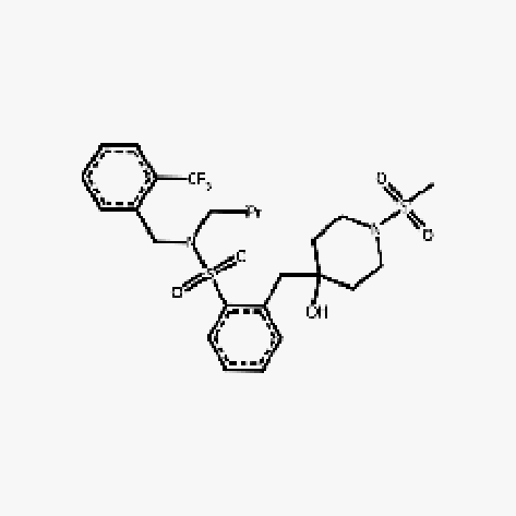 CC(C)CN(Cc1ccccc1C(F)(F)F)S(=O)(=O)c1ccccc1CC1(O)CCN(S(C)(=O)=O)CC1